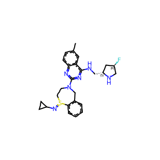 Cc1ccc2nc(N3CCS(=NC4CC4)c4ccccc4C3)nc(NC[C@@H]3C[C@@H](F)CN3)c2c1